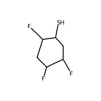 FC1CC(F)C(S)CC1F